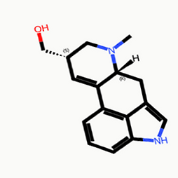 CN1C[C@@H](CO)C=C2c3cccc4[nH]cc(c34)C[C@H]21